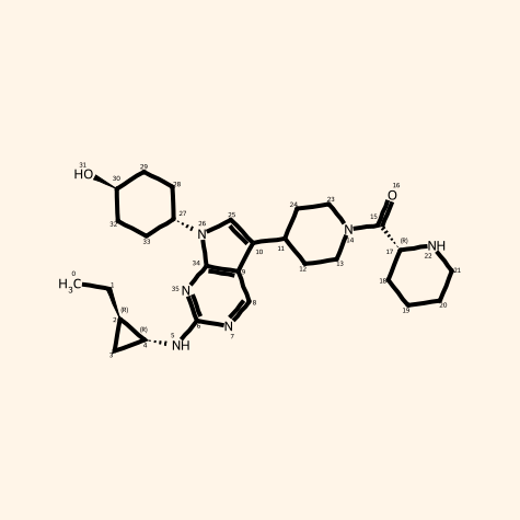 CC[C@@H]1C[C@H]1Nc1ncc2c(C3CCN(C(=O)[C@H]4CCCCN4)CC3)cn([C@H]3CC[C@H](O)CC3)c2n1